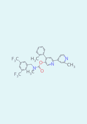 Cc1cc(-c2cc(-c3ccccc3C)c(OC(=O)N(C)Cc3cc(C(F)(F)F)cc(C(F)(F)F)c3)cn2)ccn1